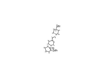 CCCOC1([C@H]2CC[C@H](CC[C@H]3CC[C@H](CCC)CC3)CC2)CCCCC1